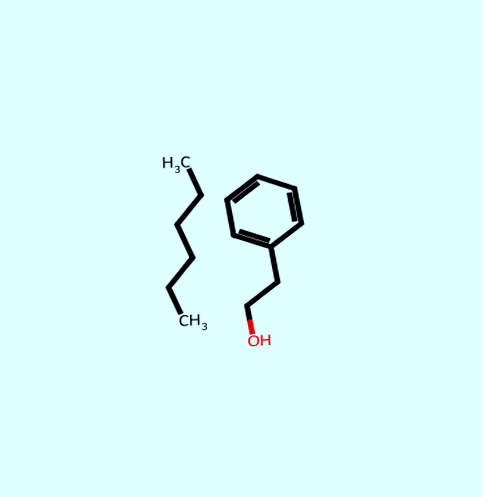 CCCCCC.OCCc1ccccc1